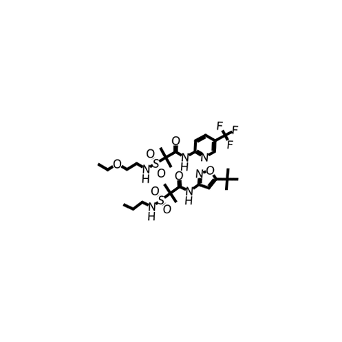 CCCNS(=O)(=O)C(C)(C)C(=O)Nc1cc(C(C)(C)C)on1.CCOCCNS(=O)(=O)C(C)(C)C(=O)Nc1ccc(C(F)(F)F)cn1